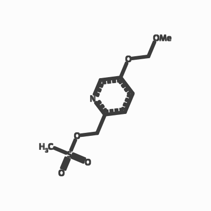 COCOc1ccc(COS(C)(=O)=O)nc1